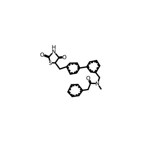 CN(Cc1cccc(-c2ccc(CC3SC(=O)NC3=O)cc2)c1)C(=O)Cc1ccccc1